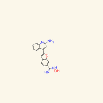 N=C(NO)c1ccc2cc(-c3cc(N)nc4ccccc34)oc2c1